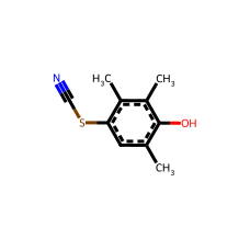 Cc1cc(SC#N)c(C)c(C)c1O